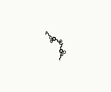 C=C(/C=C/c1ccc(OCCCC)c(OC)c1)CC(=O)/C=C/c1ccc(OCCCP(C)C)c(OC)c1